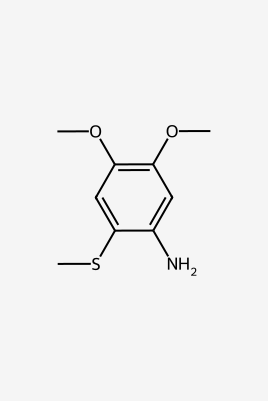 COc1cc(N)c(SC)cc1OC